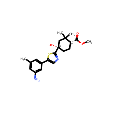 COC(=O)[C@@H]1CC[C@@](O)(c2ncc(-c3cc(C)cc(N)c3)s2)CC1(C)C